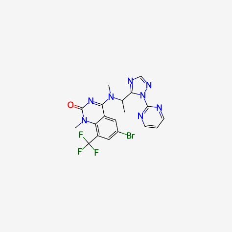 CC(c1ncnn1-c1ncccn1)N(C)c1nc(=O)n(C)c2c(C(F)(F)F)cc(Br)cc12